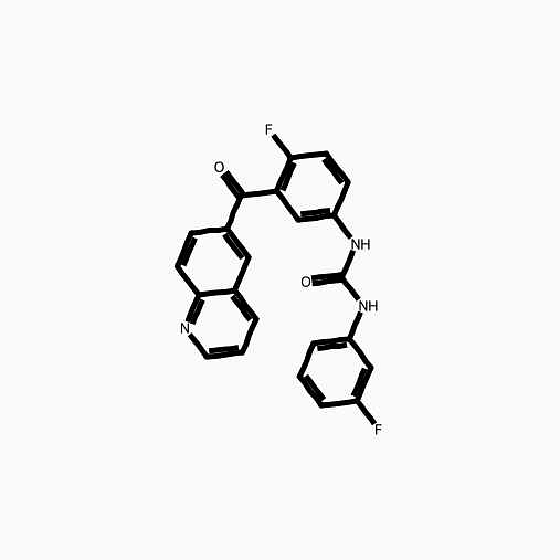 O=C(Nc1cccc(F)c1)Nc1ccc(F)c(C(=O)c2ccc3ncccc3c2)c1